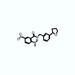 CN(C)c1ccc([N+](=O)[O-])cc1C(=O)NCc1cccc(C2CCCO2)c1